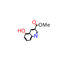 COC(=O)c1cnc2cccc(O)c2c1